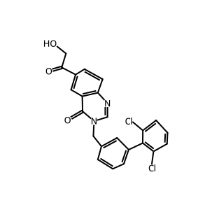 O=C(CO)c1ccc2ncn(Cc3cccc(-c4c(Cl)cccc4Cl)c3)c(=O)c2c1